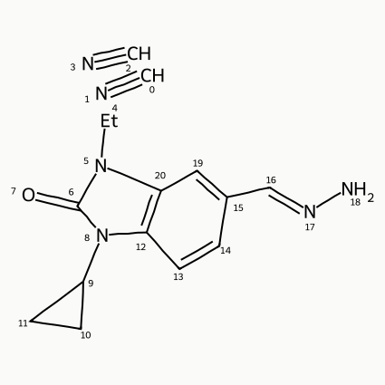 C#N.C#N.CCn1c(=O)n(C2CC2)c2ccc(C=NN)cc21